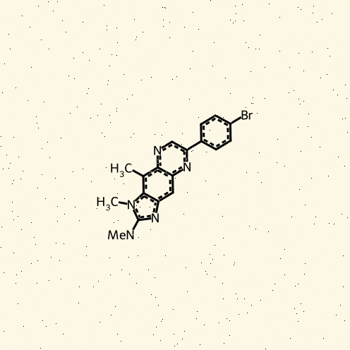 CNc1nc2cc3nc(-c4ccc(Br)cc4)cnc3c(C)c2n1C